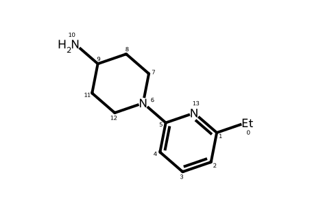 CCc1cccc(N2CCC(N)CC2)n1